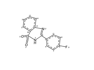 O=S1(=O)NC(c2ccc(F)cc2)=Nc2ccccc21